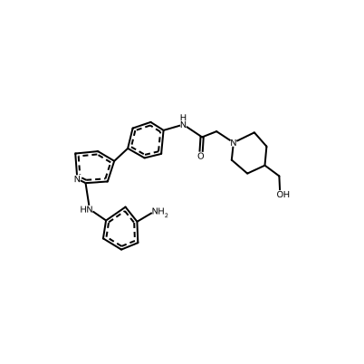 Nc1cccc(Nc2cc(-c3ccc(NC(=O)CN4CCC(CO)CC4)cc3)ccn2)c1